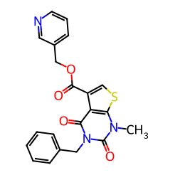 Cn1c(=O)n(Cc2ccccc2)c(=O)c2c(C(=O)OCc3cccnc3)csc21